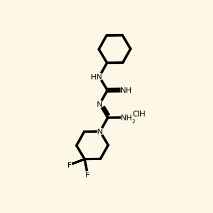 Cl.N=C(N=C(N)N1CCC(F)(F)CC1)NC1CCCCC1